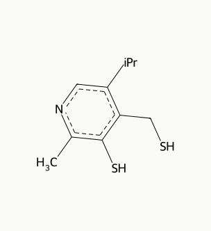 Cc1ncc(C(C)C)c(CS)c1S